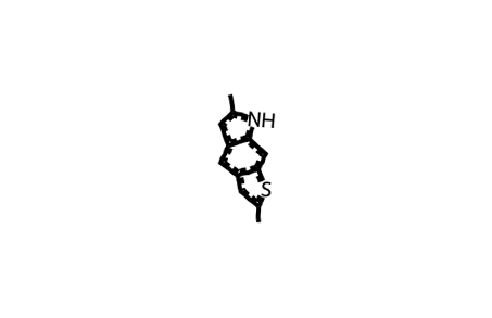 Cc1cc2cc3cc(C)sc3cc2[nH]1